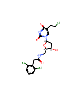 O=C(Cc1c(Cl)cccc1Cl)NC[C@H]1O[C@@H](n2cc(CCCl)c(=O)[nH]c2=O)C[C@@H]1O